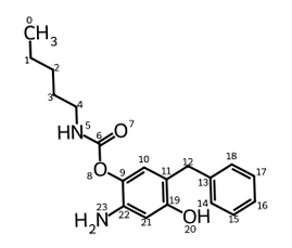 CCCCCNC(=O)Oc1cc(Cc2ccccc2)c(O)cc1N